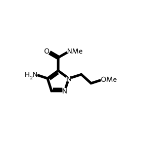 CNC(=O)c1c(N)cnn1CCOC